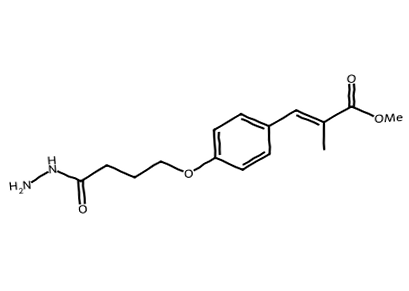 COC(=O)/C(C)=C/c1ccc(OCCCC(=O)NN)cc1